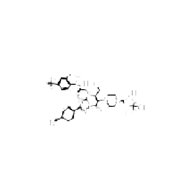 CCc1c(N2CCN(C(=O)OC(C)(C)C)CC2)c(=O)n2nc(C3=CCC(C#N)CC3)nc2n1CC(=O)Nc1ccc(C(F)(F)F)cc1Cl